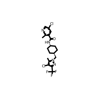 Cc1ncc(Cl)cc1C(=O)N[C@H]1CC[C@H](Cn2nc(C(F)(F)F)c(Cl)c2C)CC1